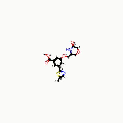 COC(=O)c1cc(OCC2COCC(=O)N2)cc(-c2ncc(C)s2)c1